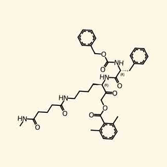 CNC(=O)CCCC(=O)NCCCC[C@@H](NC(=O)[C@@H](Cc1ccccc1)NC(=O)OCc1ccccc1)C(=O)COC(=O)c1c(C)cccc1C